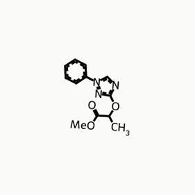 COC(=O)C(C)Oc1ncn(-c2ccccc2)n1